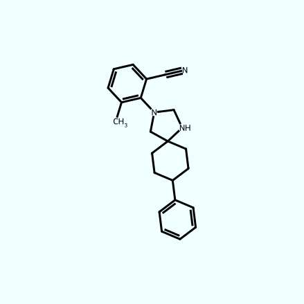 Cc1cccc(C#N)c1N1CNC2(CCC(c3ccccc3)CC2)C1